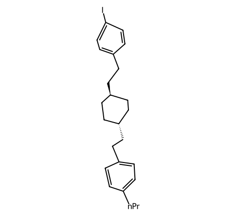 CCCc1ccc(CC[C@H]2CC[C@H](CCc3ccc(I)cc3)CC2)cc1